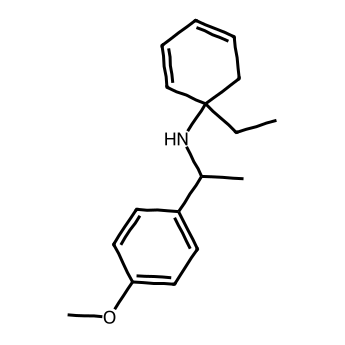 CCC1(NC(C)c2ccc(OC)cc2)C=CC=CC1